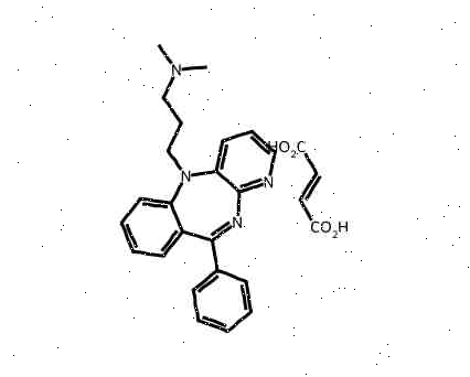 CN(C)CCCN1c2ccccc2C(c2ccccc2)=Nc2ncccc21.O=C(O)C=CC(=O)O